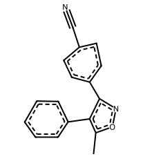 Cc1onc(-c2ccc(C#N)cc2)c1-c1ccccc1